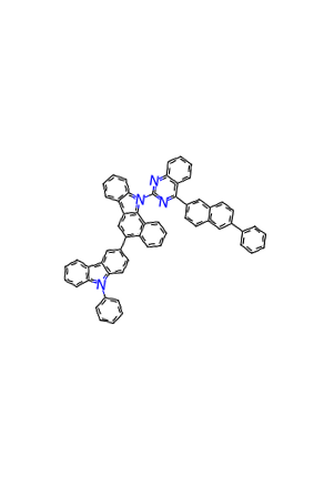 c1ccc(-c2ccc3cc(-c4nc(-n5c6ccccc6c6cc(-c7ccc8c(c7)c7ccccc7n8-c7ccccc7)c7ccccc7c65)nc5ccccc45)ccc3c2)cc1